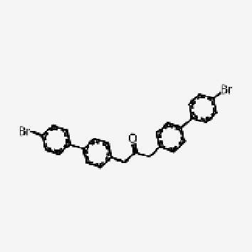 O=C(Cc1ccc(-c2ccc(Br)cc2)cc1)Cc1ccc(-c2ccc(Br)cc2)cc1